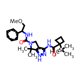 COCC(NC(=O)N1Cc2c(NC(=O)C3([Si](C)(C)C)CCC3)n[nH]c2C1(C)C)c1ccccc1